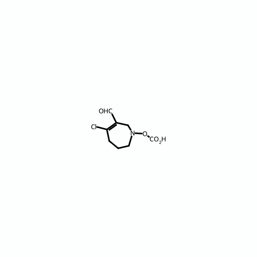 O=CC1=C(Cl)CCCN(OC(=O)O)C1